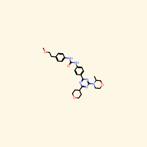 COCCc1ccc(NC(=O)Nc2ccc(-c3nc(C4CCOCC4)nc(N4CCOCC4C)n3)cc2)cc1